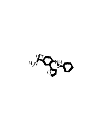 CCCC(N)c1ccc(NSc2ccccc2)c(-c2ccco2)c1